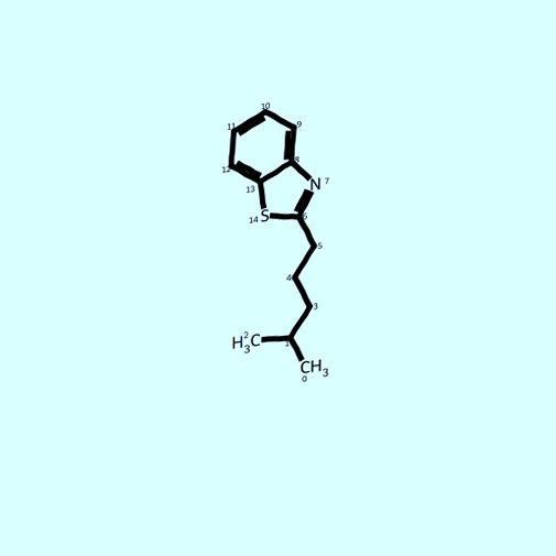 CC(C)CCCc1nc2ccccc2s1